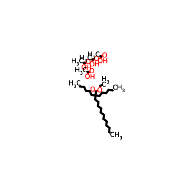 CC(=O)O.CC(=O)O.CC(=O)O.CC(=O)O.CCCCCCCCCCCCC(CCCCCC)(CCCCCC)C(=O)OCC